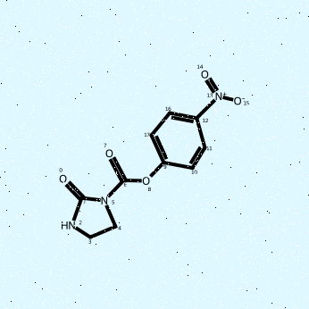 O=C1NCCN1C(=O)Oc1ccc([N+](=O)[O-])cc1